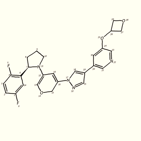 Fc1ccc(F)c([C@H]2CCCN2C2=COCC(n3cc(-c4cncc(OC5COC5)c4)cn3)=C2)c1